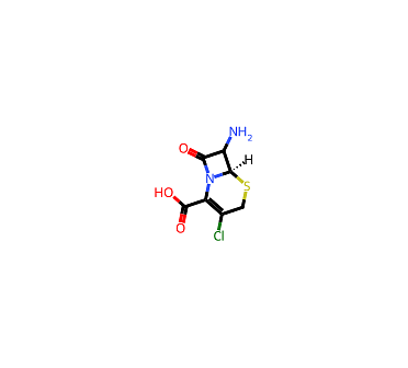 NC1C(=O)N2C(C(=O)O)=C(Cl)CS[C@H]12